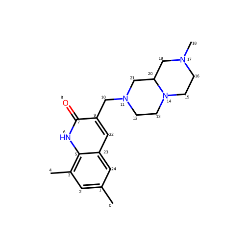 Cc1cc(C)c2[nH]c(=O)c(CN3CCN4CCN(C)CC4C3)cc2c1